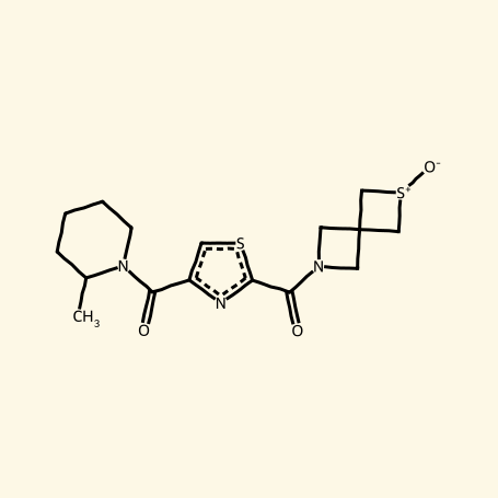 CC1CCCCN1C(=O)c1csc(C(=O)N2CC3(C2)C[S+]([O-])C3)n1